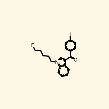 O=C(c1ccc(I)cc1)c1cn(CCCCCF)c2ccccc12